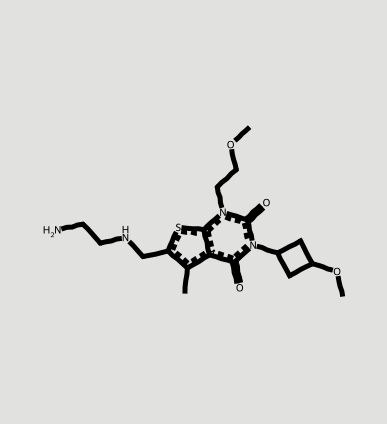 COCCn1c(=O)n(C2CC(OC)C2)c(=O)c2c(C)c(CNCCN)sc21